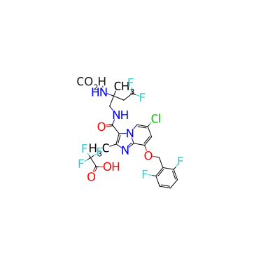 Cc1nc2c(OCc3c(F)cccc3F)cc(Cl)cn2c1C(=O)NCC(C)(CC(F)F)NC(=O)O.O=C(O)C(F)(F)F